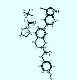 Cc1c[nH]c2ncc(-c3cc4c(c([C@@H]5CCCN5C(=O)OC(C)(C)C)c3)CCN(C(=O)Cc3ccc(F)cc3)C4)cc12